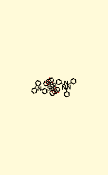 c1ccc(-c2nc(-c3ccccc3)nc(-c3cccc([Si](c4ccccc4)(c4ccccc4)[Si](c4ccccc4)(c4ccccc4)[Si](c4ccccc4)(c4ccccc4)c4cccc(-n5c6ccccc6c6ccccc65)c4)c3)n2)cc1